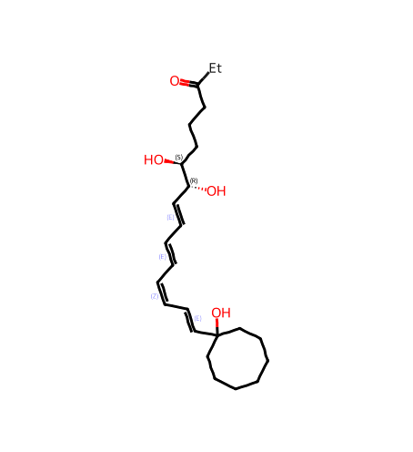 CCC(=O)CCC[C@H](O)[C@H](O)/C=C/C=C/C=C\C=C\C1(O)CCCCCCC1